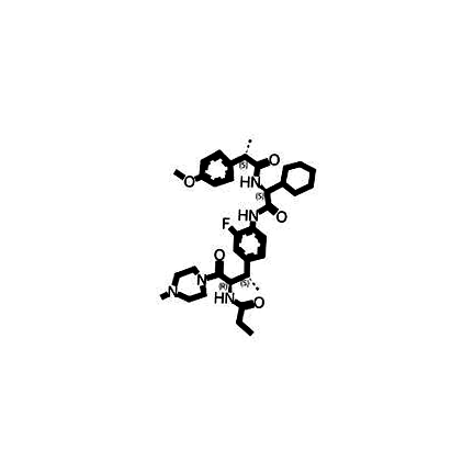 CCC(=O)N[C@@H](C(=O)N1CCN(C)CC1)[C@@H](C)c1ccc(NC(=O)[C@@H](NC(=O)[C@@H](C)c2ccc(OC)cc2)C2CCCCC2)c(F)c1